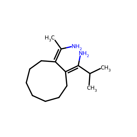 C/C(N)=C1\CCCCCCC\C1=C(\N)C(C)C